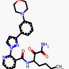 CCCCC(NC(=O)c1cccnc1-n1ccc(-c2cccc(N3CCOCC3)c2)n1)C(=O)C(N)=O